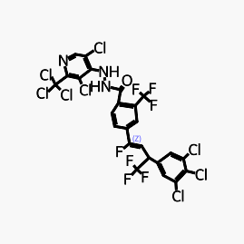 O=C(NNc1c(Cl)cnc(C(Cl)(Cl)Cl)c1Cl)c1ccc(/C(F)=C/C(c2cc(Cl)c(Cl)c(Cl)c2)C(F)(F)F)cc1C(F)(F)F